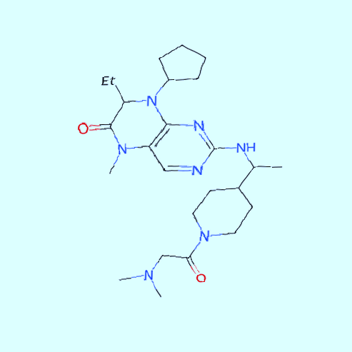 CCC1C(=O)N(C)c2cnc(NC(C)C3CCN(C(=O)CN(C)C)CC3)nc2N1C1CCCC1